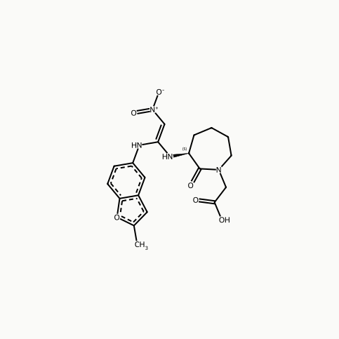 Cc1cc2cc(NC(=C[N+](=O)[O-])N[C@H]3CCCCN(CC(=O)O)C3=O)ccc2o1